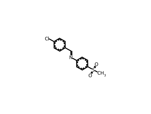 CS(=O)(=O)c1ccc(/N=C/c2ccc(Cl)cc2)cc1